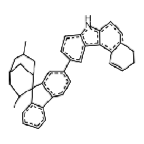 CC1CC2CC(C)C3(c4ccccc4-c4ccc(-c5ccc6[nH]c7ccc8c(c7c6c5)C=CCC8)cc43)C(C1)C2